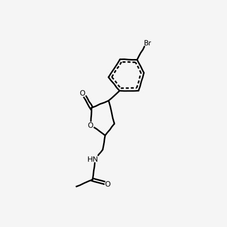 CC(=O)NCC1CC(c2ccc(Br)cc2)C(=O)O1